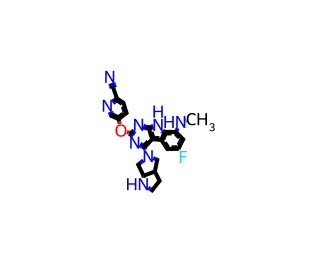 CNc1cc(F)cc2c1[nH]c1nc(Oc3ccc(C#N)nc3)nc(N3CC4CCNC4C3)c12